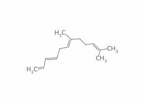 C=C/C=C/C/C=C(\C)CCC=C(C)C